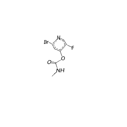 CNC(=O)Oc1cc(Br)ncc1F